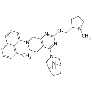 Cc1cccc2cccc(N3CCc4c(nc(OCC5CCCN5C)nc4N4CC5CCC(C4)N5)C3)c12